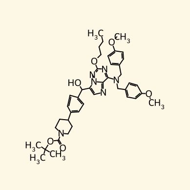 CCCCOc1nc(N(Cc2ccc(OC)cc2)Cc2ccc(OC)cc2)c2ncc(C(O)c3ccc(C4CCN(C(=O)OC(C)(C)C)CC4)cc3)n2n1